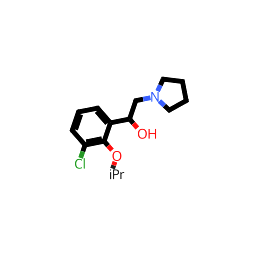 CC(C)Oc1c(Cl)cccc1C(O)CN1CCCC1